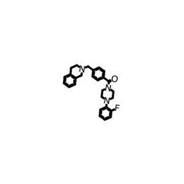 O=C(c1ccc(CN2CCc3ccccc3C2)cc1)N1CCN(c2ccccc2F)CC1